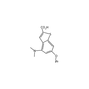 CC(C)Oc1cc(N(C)C)c2cc(C(=O)O)sc2c1